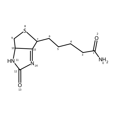 NC(=O)CCCCC1SCC2NC(=O)N=C21